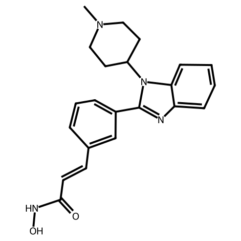 CN1CCC(n2c(-c3cccc(C=CC(=O)NO)c3)nc3ccccc32)CC1